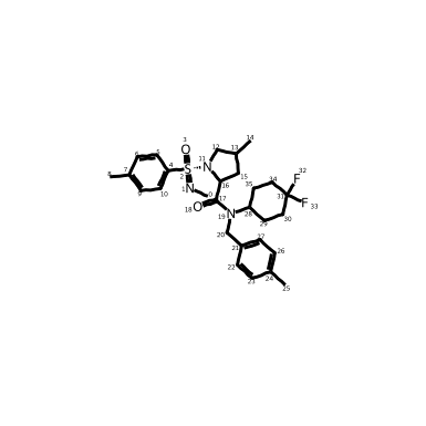 CN=[S@](=O)(c1ccc(C)cc1)N1CC(C)CC1C(=O)N(Cc1ccc(C)cc1)C1CCC(F)(F)CC1